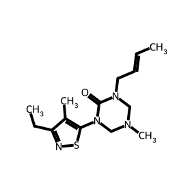 C/C=C/CN1CN(C)CN(c2snc(CC)c2C)C1=O